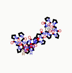 O=C(O)CNC(=O)[C@@H]1CCCN1C(=O)[C@@H]1CCCN1C(=O)CNC(=O)[C@@H]1CCCN1C(=O)[C@@H]1CCCN1C(=O)CNC(=O)[C@@H]1CCCN1C(=O)[C@@H]1CCCN1C(=O)CNC(=O)[C@@H]1CCCN1C(=O)[C@@H]1CCCN1C(=O)CNC(=O)[C@@H]1CCCN1C(=O)[C@@H]1CCCN1C(=O)CNC(=O)[C@@H]1CCCN1C(=O)[C@@H]1CCCN1C(=O)CNC(=O)[C@H](CS)NC(=O)[C@@H]1CCCN1